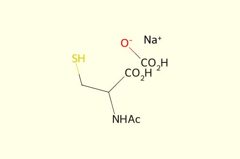 CC(=O)NC(CS)C(=O)O.O=C([O-])O.[Na+]